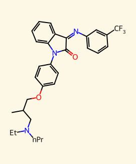 CCCN(CC)CC(C)COc1ccc(N2C(=O)C(=Nc3cccc(C(F)(F)F)c3)c3ccccc32)cc1